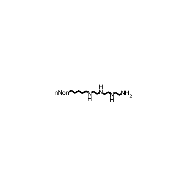 CCCCCCCCCCCCCCNCCNCCNCCN